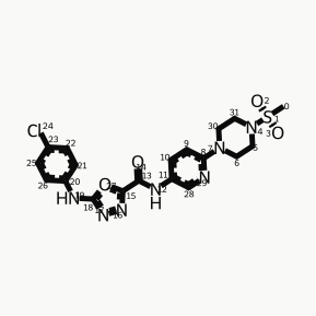 CS(=O)(=O)N1CCN(c2ccc(NC(=O)c3nnc(Nc4ccc(Cl)cc4)o3)cn2)CC1